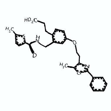 Cc1ccc(C(=O)NCc2cc(OCCc3nc(-c4ccccc4)oc3C)ccc2CCC(=O)O)s1